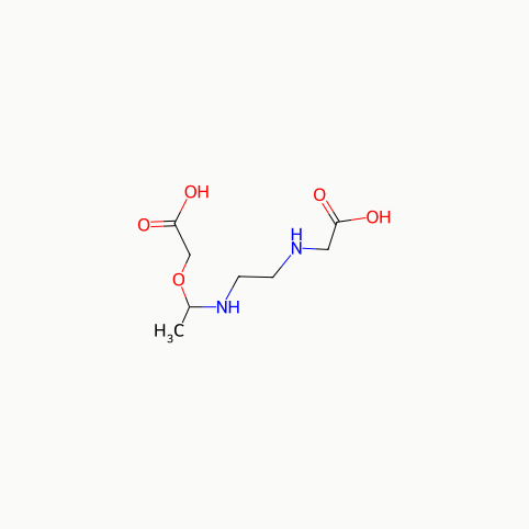 CC(NCCNCC(=O)O)OCC(=O)O